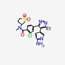 CCc1ncnc(-c2ccc(C(=O)N(C)C3CCS(=O)(=O)C3)c(Cl)c2)c1-c1ccc(N)nc1